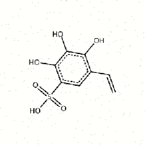 C=Cc1cc(S(=O)(=O)O)c(O)c(O)c1O